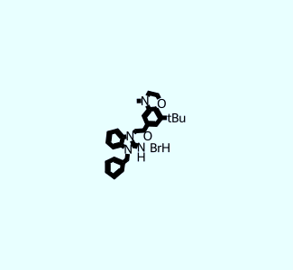 Br.CN1CCOc2c1cc(C(=O)Cn1c(=N)n(Cc3ccccc3)c3ccccc31)cc2C(C)(C)C